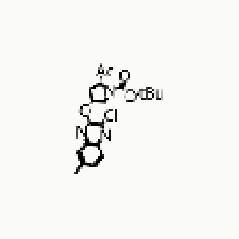 CC(=O)[C@@H]1C[C@@H](Oc2nc3cc(C)ccc3nc2Cl)CN1C(=O)OC(C)(C)C